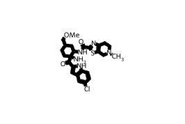 COCC1CCC(N)(C(=O)c2cc3cc(Cl)ccc3[nH]2)C(NC(=O)c2nc3c(s2)CN(C)CC3)C1